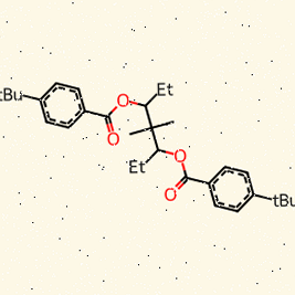 CCC(OC(=O)c1ccc(C(C)(C)C)cc1)C(C)(C)C(CC)OC(=O)c1ccc(C(C)(C)C)cc1